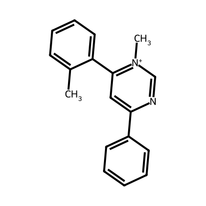 Cc1ccccc1-c1cc(-c2ccccc2)nc[n+]1C